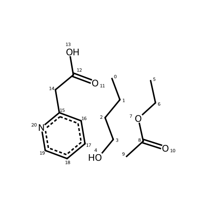 CCCCO.CCOC(C)=O.O=C(O)Cc1ccccn1